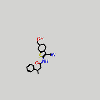 CC(CC(=O)Nc1sc2c(c1C#N)CCC(CO)C2)c1ccccc1